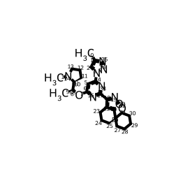 Cc1cn(-c2cc(O[C@@H](C)[C@@H]3CCCN3C)nc(-c3noc4c3CCC[C@@]43CCCCC3=O)n2)nn1